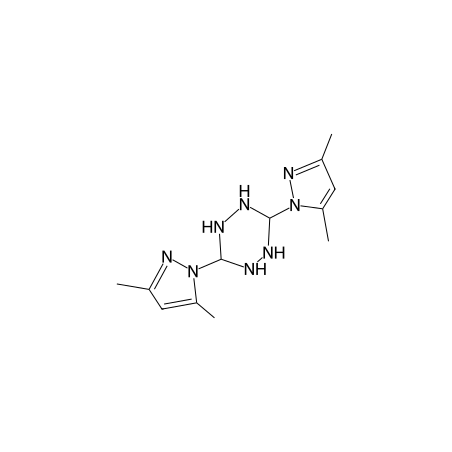 Cc1cc(C)n(C2NNC(n3nc(C)cc3C)NN2)n1